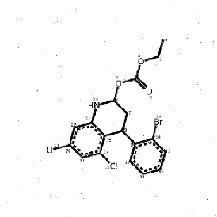 CCOC(=O)OC1CC(c2ccccc2Br)c2c(Cl)cc(Cl)cc2N1